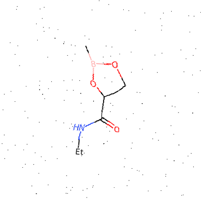 CCNC(=O)C1COB(C)O1